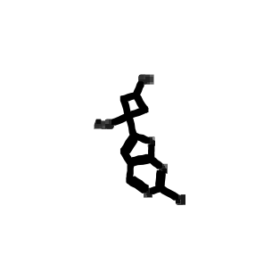 CC(=O)OC1(c2cc3cnc(Cl)nc3s2)CC(O)C1